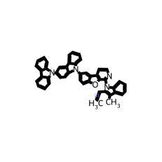 C/C=C\c1c(C)c2ccccc2n1-c1nccc2c1oc1ccc(-n3c4ccccc4c4cc(-n5c6ccccc6c6ccccc65)ccc43)cc12